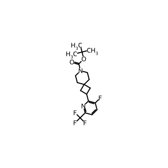 CC(C)(C)OC(=O)N1CCC2(CC1)CC(c1nc(C(F)(F)F)ccc1F)C2